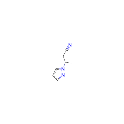 CC(CC#N)n1cccn1